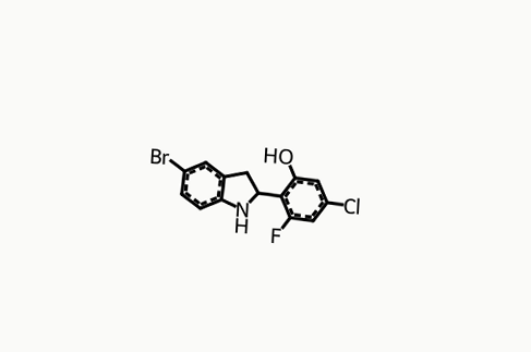 Oc1cc(Cl)cc(F)c1C1Cc2cc(Br)ccc2N1